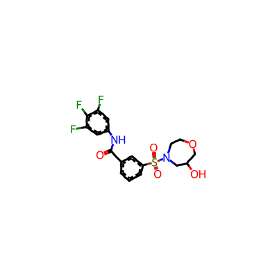 O=C(Nc1cc(F)c(F)c(F)c1)c1cccc(S(=O)(=O)N2CCOCC(O)C2)c1